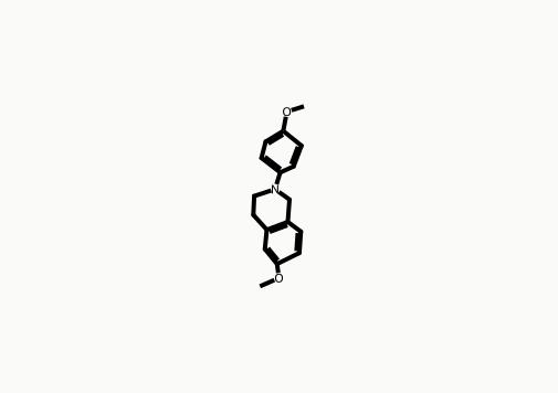 COc1ccc(N2CCc3cc(OC)ccc3C2)cc1